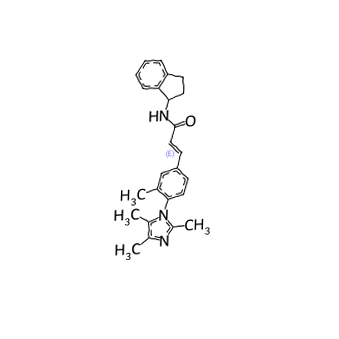 Cc1cc(/C=C/C(=O)NC2CCc3ccccc32)ccc1-n1c(C)nc(C)c1C